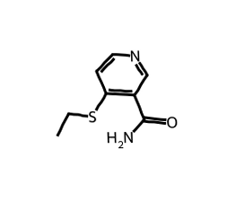 CCSc1ccncc1C(N)=O